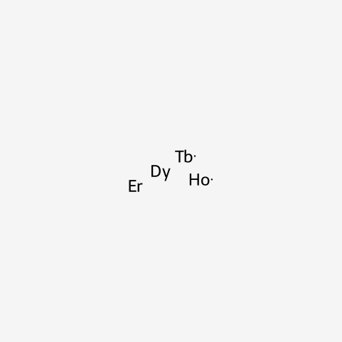 [Dy].[Er].[Ho].[Tb]